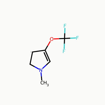 CN1C=C(OC(F)(F)F)[CH]C1